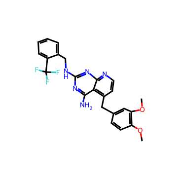 COc1ccc(Cc2ccnc3nc(NCc4ccccc4C(F)(F)F)nc(N)c23)cc1OC